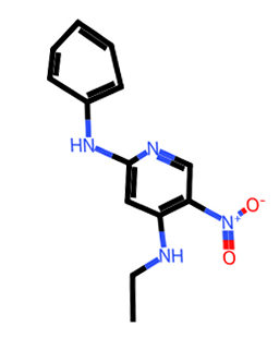 CCNc1cc(Nc2ccccc2)ncc1[N+](=O)[O-]